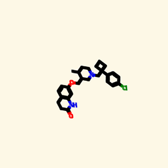 CC1CCN(CC2(c3ccc(Cl)cc3)CCC2)CC1COc1ccc2c(c1)NC(=O)CC2